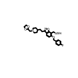 CNCc1c(OCc2ccc(F)cc2)ccc2c(CCC3CCN(CC4OCCO4)CC3)noc12